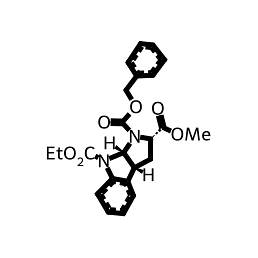 CCOC(=O)N1c2ccccc2[C@H]2C[C@@H](C(=O)OC)N(C(=O)OCc3ccccc3)[C@H]21